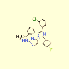 CC(Nc1nccc(-n2cc(-c3cccc(Cl)c3)nc2-c2ccc(F)cc2)n1)c1ccccc1